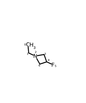 CCN1CC(F)C1